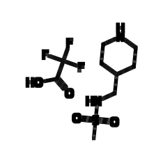 CS(=O)(=O)NCC1CCNCC1.O=C(O)C(F)(F)F